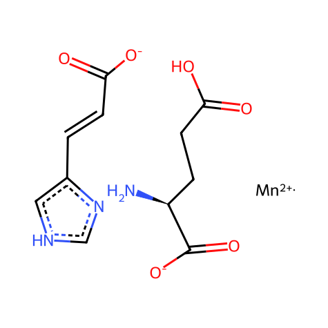 N[C@@H](CCC(=O)O)C(=O)[O-].O=C([O-])C=Cc1c[nH]cn1.[Mn+2]